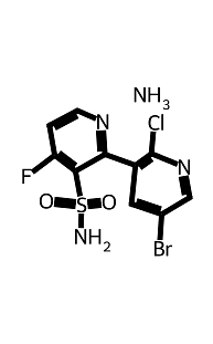 N.NS(=O)(=O)c1c(F)ccnc1-c1cc(Br)cnc1Cl